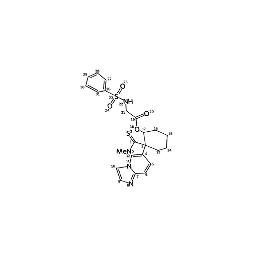 CNC(=S)C1(c2ccc3nccn3c2)CCCCC1OC(=O)CNS(=O)(=O)c1ccccc1